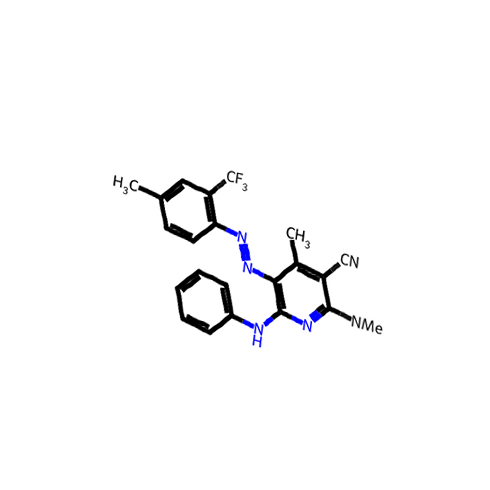 CNc1nc(Nc2ccccc2)c(N=Nc2ccc(C)cc2C(F)(F)F)c(C)c1C#N